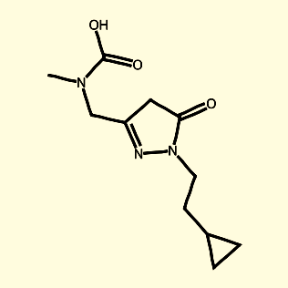 CN(CC1=NN(CCC2CC2)C(=O)C1)C(=O)O